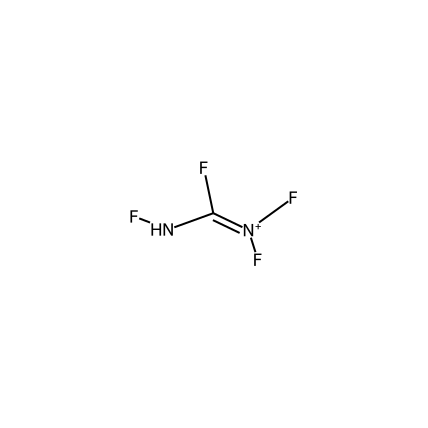 FNC(F)=[N+](F)F